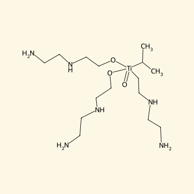 C[CH](C)[Ti](=[O])([CH2]CNCCN)([O]CCNCCN)[O]CCNCCN